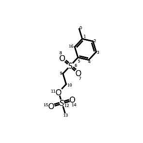 Cc1cccc(S(=O)(=O)CCOS(C)(=O)=O)c1